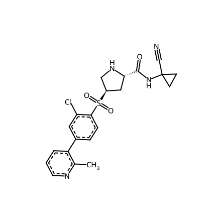 Cc1ncccc1-c1ccc(S(=O)(=O)[C@H]2CN[C@H](C(=O)NC3(C#N)CC3)C2)c(Cl)c1